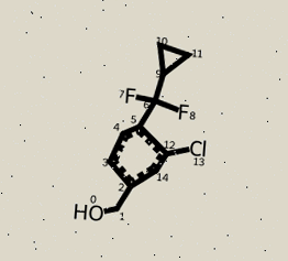 OCc1ccc(C(F)(F)C2CC2)c(Cl)c1